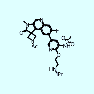 CC(=O)N1CC2(C1)C(=O)N(C)c1cnc3cc(F)c(-c4cnc(OCCNC(C)C)c(NS(C)(=O)=O)c4)cc3c12